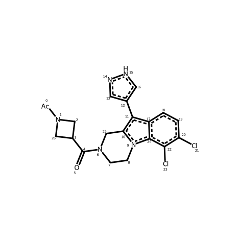 CC(=O)N1CC(C(=O)N2CCn3c(c(-c4cn[nH]c4)c4ccc(Cl)c(Cl)c43)C2)C1